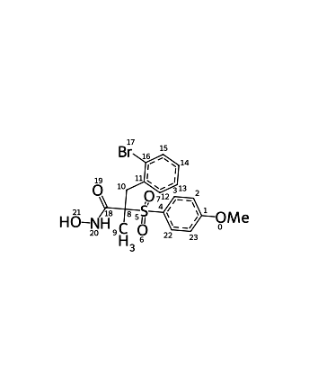 COc1ccc(S(=O)(=O)C(C)(Cc2ccccc2Br)C(=O)NO)cc1